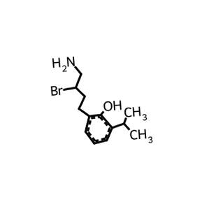 CC(C)c1cccc(CCC(Br)CN)c1O